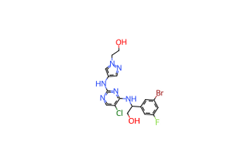 OCCn1cc(Nc2ncc(Cl)c(NC(CO)c3cc(F)cc(Br)c3)n2)cn1